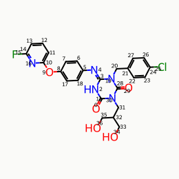 O=c1[nH]/c(=N\c2ccc(Oc3cccc(F)n3)cc2)n(Cc2ccc(Cl)cc2)c(=O)n1CC(CO)CO